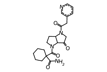 NC(=O)C1(C(=O)N2CCC3C2C(=O)CN3C(=O)Cc2cccnc2)CCCCC1